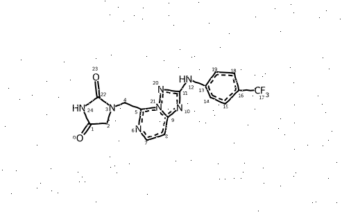 O=C1CN(Cc2nccc3nc(Nc4ccc(C(F)(F)F)cc4)nn23)C(=O)N1